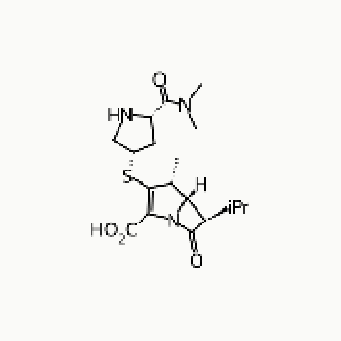 CC(C)[C@H]1C(=O)N2C(C(=O)O)=C(S[C@@H]3CN[C@H](C(=O)N(C)C)C3)[C@H](C)[C@H]12